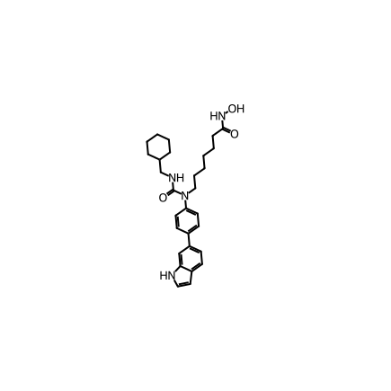 O=C(CCCCCCN(C(=O)NCC1CCCCC1)c1ccc(-c2ccc3cc[nH]c3c2)cc1)NO